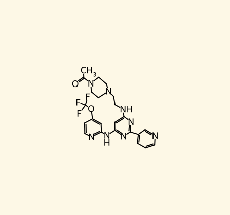 CC(=O)N1CCN(CCNc2cc(Nc3cc(OC(F)(F)F)ccn3)nc(-c3cccnc3)n2)CC1